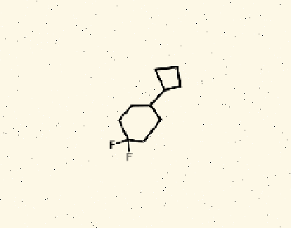 FC1(F)CCC([C]2CCC2)CC1